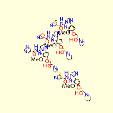 COc1c(OC[C@H](O)CN2CCCC2)ccc2c1N=C(NC(=O)c1cncnc1)N1CCN=C21.COc1c(OC[C@H](O)CN2CCCC2)ccc2c1N=C(NC(=O)c1cnco1)N1CCN=C21.COc1c(OC[C@H](O)CN2CCCC2)ccc2c1N=C(NC(=O)c1cncs1)N1CCN=C21.COc1c(OC[C@H](O)CN2CCCCC2)ccc2c1N=C(NC(=O)c1cncs1)N1CCN=C21